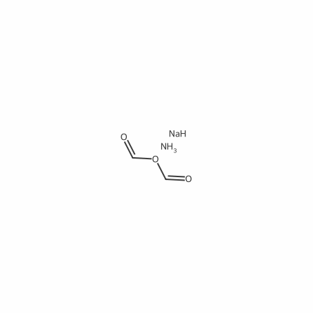 N.O=COC=O.[NaH]